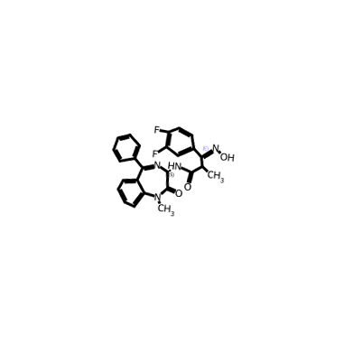 CC(C(=O)N[C@H]1N=C(c2ccccc2)c2ccccc2N(C)C1=O)/C(=N\O)c1ccc(F)c(F)c1